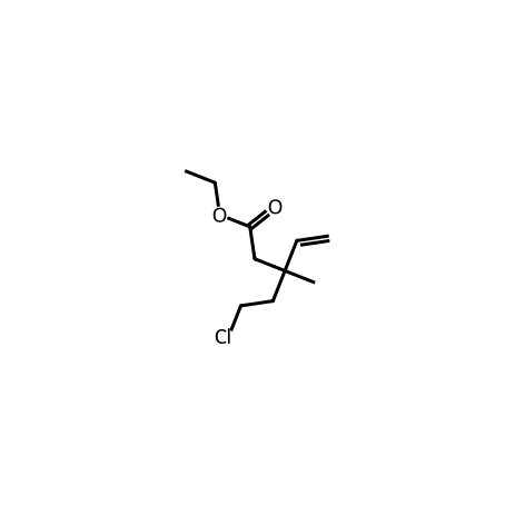 C=CC(C)(CCCl)CC(=O)OCC